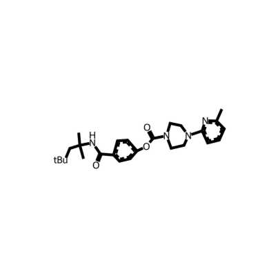 Cc1cccc(N2CCN(C(=O)Oc3ccc(C(=O)NC(C)(C)CC(C)(C)C)cc3)CC2)n1